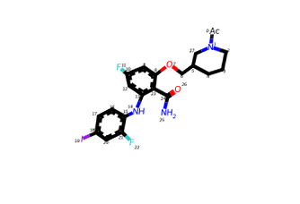 CC(=O)N1CCCC(COc2cc(F)cc(Nc3ccc(I)cc3F)c2C(N)=O)C1